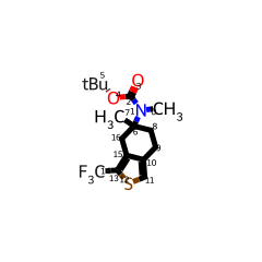 CN(C(=O)OC(C)(C)C)C1(C)CCc2csc(C(F)(F)F)c2C1